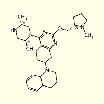 C[C@@H]1CN(c2nc(OC[C@@H]3CCCN3C)nc3c2CCC(N2CCCC4C=CC=CC42)C3)[C@@H](C)CN1